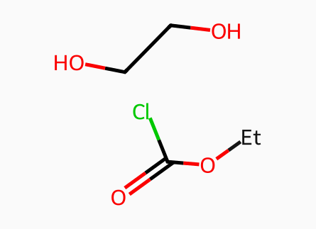 CCOC(=O)Cl.OCCO